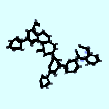 C=C1C=C(c2cc(-c3ccccc3)nc(-c3cccc(/C(C)=c4\nccc\c4=C\C)c3)n2)C=Cc2ccc3c(C(C)(C)C)cc(-c4ccccc4)nc3c21